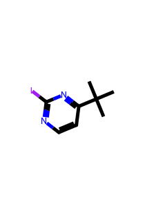 CC(C)(C)c1ccnc(I)n1